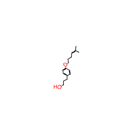 CC(C)=CCCCOc1ccc(CCCO)cc1